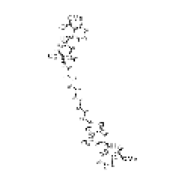 COC(=O)c1ccccc1Nc1cc(Cl)c(OCCCCCCCCCCCOc2c(Cl)cc(Nc3ccccc3C(=O)OC)cc2Cl)c(Cl)c1